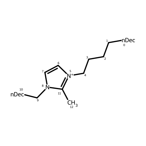 CCCCCCCCCCCCCC[n+]1ccn(CCCCCCCCCCC)c1C